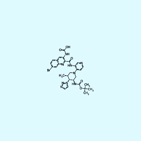 C[C@H]1CN(c2ccncc2NC(=O)c2nc3cc(Br)ccc3cc2NC(=O)O)C[C@@H](NC(=O)OC(C)(C)C)[C@H]1n1ccnn1